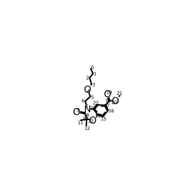 CCCCOCCN1C(=O)C(C)(C)Oc2ccc(C(=O)OC)cc21